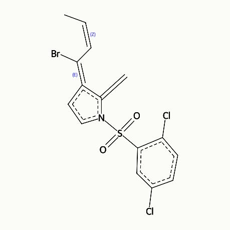 C=c1/c(=C(Br)\C=C/C)ccn1S(=O)(=O)c1cc(Cl)ccc1Cl